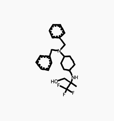 CC(CO)(NC1CCC(N(Cc2ccccc2)Cc2ccccc2)CC1)C(F)(F)F